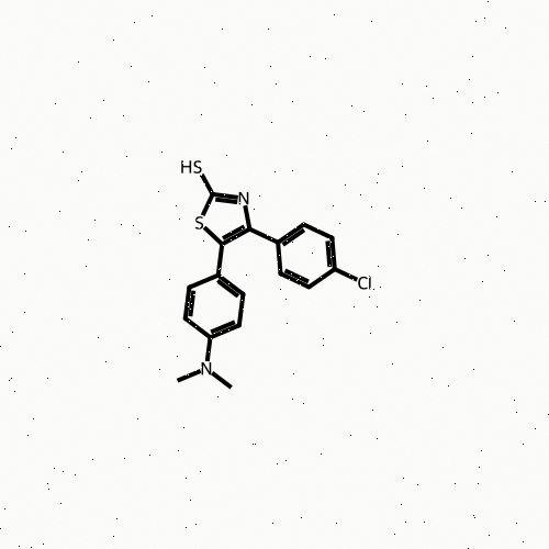 CN(C)c1ccc(-c2sc(S)nc2-c2ccc(Cl)cc2)cc1